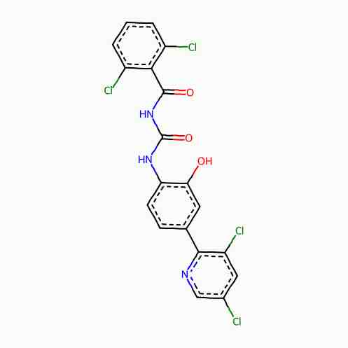 O=C(NC(=O)c1c(Cl)cccc1Cl)Nc1ccc(-c2ncc(Cl)cc2Cl)cc1O